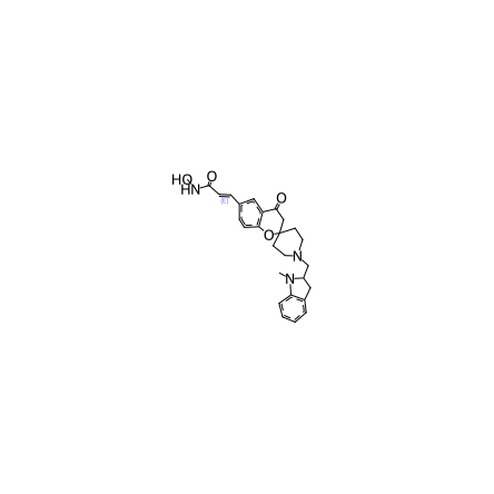 CN1c2ccccc2CC1CN1CCC2(CC1)CC(=O)c1cc(/C=C/C(=O)NO)ccc1O2